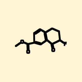 COC(=O)c1ccc2c(c1)C(=O)C(F)CC2